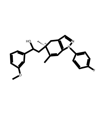 COc1cccc(C(O)C[C@@]2(C)Cc3cnn(-c4ccc(F)cc4)c3C=C2C)c1